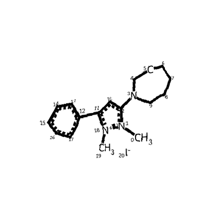 Cn1c(N2CCCCCC2)cc(-c2ccccc2)[n+]1C.[I-]